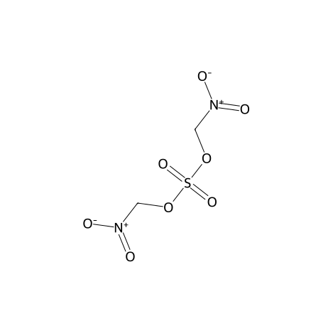 O=[N+]([O-])COS(=O)(=O)OC[N+](=O)[O-]